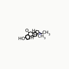 C/C=C1\CC[C@H]2[C@@H]3CC(=O)c4cc(O)ccc4[C@H]3CC[C@]12C